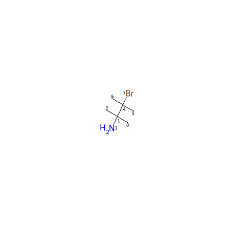 CC(C)(N)C(C)(C)Br